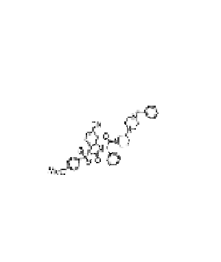 COc1ccc(S(=O)(=O)n2c(=O)n(C(C(=O)N3CCC[C@H](N4CCN(Cc5ccccc5)CC4)C3)c3ccccc3)c3cc(C#N)ccc32)cc1